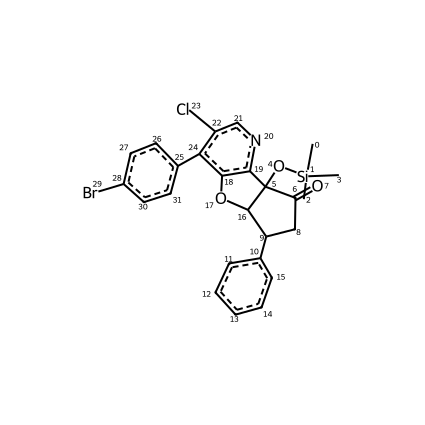 C[Si](C)(C)OC12C(=O)CC(c3ccccc3)C1Oc1c2ncc(Cl)c1-c1ccc(Br)cc1